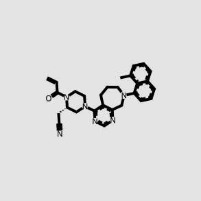 C=CC(=O)N1CCN(c2ncnc3c2CCCN(c2cccc4cccc(C)c24)C3)C[C@@H]1CC#N